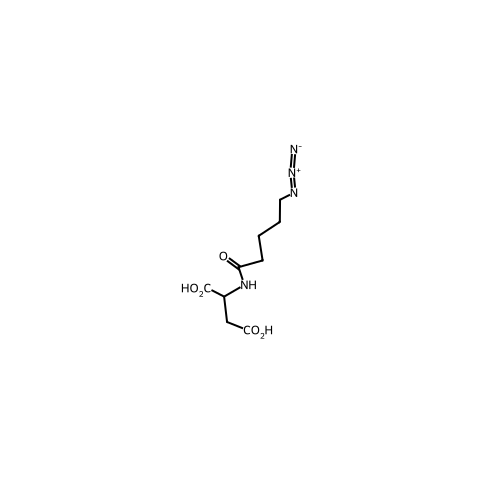 [N-]=[N+]=NCCCCC(=O)NC(CC(=O)O)C(=O)O